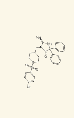 CC(C)c1ccc(S(=O)(=O)N2CCC(CN3C(=N)NC(c4ccccc4)(c4ccccc4)C3=O)CC2)cc1